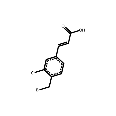 O=C(O)C=Cc1ccc(CBr)c(Cl)c1